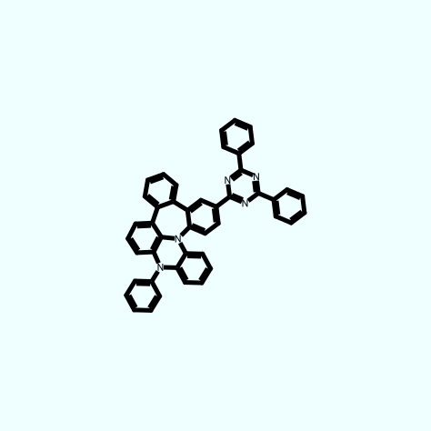 c1ccc(-c2nc(-c3ccccc3)nc(-c3ccc4c(c3)-c3ccccc3-c3cccc5c3N4c3ccccc3N5c3ccccc3)n2)cc1